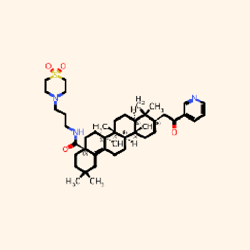 CC1(C)CC[C@]2(C(=O)NCCCN3CCS(=O)(=O)CC3)CC[C@]3(C)C(=C2C1)CC[C@@H]1[C@@]2(C)CC[C@H](CC(=O)c4cccnc4)C(C)(C)[C@@H]2CC[C@]13C